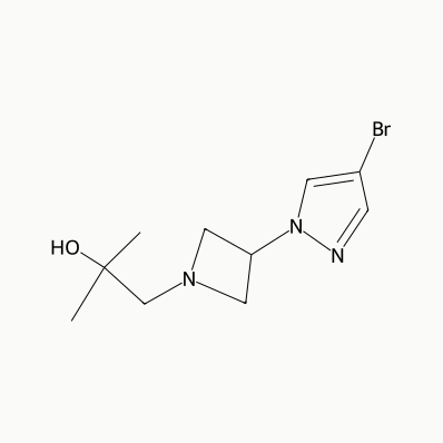 CC(C)(O)CN1CC(n2cc(Br)cn2)C1